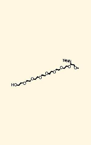 COCC(N=[N+]=[N-])OCCOCCOCCOCCOCCOCCOCCO